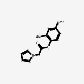 COc1ccc(OC(=O)C[SH]2C=CC=C2)c(C(C)(C)C)c1